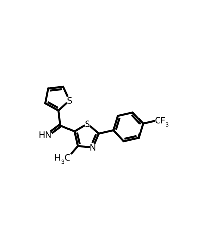 Cc1nc(-c2ccc(C(F)(F)F)cc2)sc1C(=N)c1cccs1